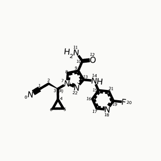 N#CC[C@H](C1CC1)n1cc(C(N)=O)c(Nc2ccnc(F)c2)n1